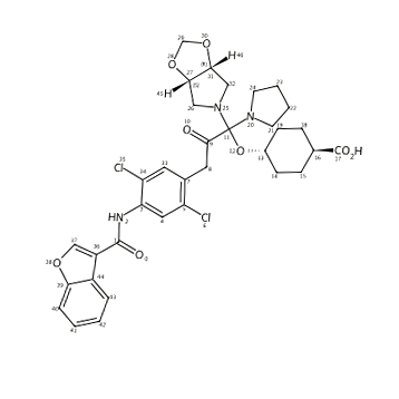 O=C(Nc1cc(Cl)c(CC(=O)C(O[C@H]2CC[C@H](C(=O)O)CC2)(N2CCCC2)N2C[C@@H]3OCO[C@@H]3C2)cc1Cl)c1coc2ccccc12